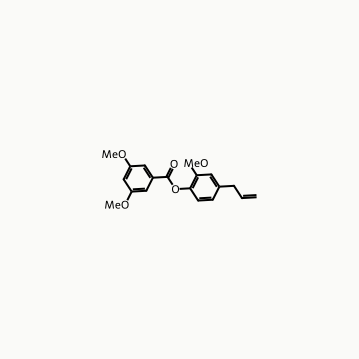 C=CCc1ccc(OC(=O)c2cc(OC)cc(OC)c2)c(OC)c1